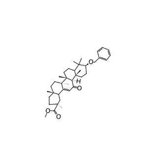 COC(=O)[C@@]1(C)CC[C@]2(C)CC[C@]3(C)C(=CC(=O)[C@@H]4[C@@]5(C)CC[C@H](OCc6ccccc6)C(C)(C)C5CC[C@]43C)C2C1